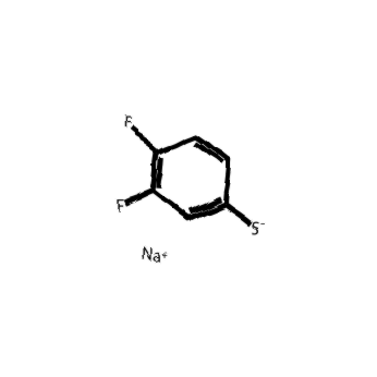 Fc1ccc([S-])cc1F.[Na+]